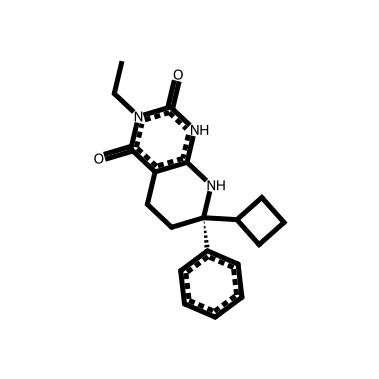 CCn1c(=O)[nH]c2c(c1=O)CC[C@](c1ccccc1)(C1CCC1)N2